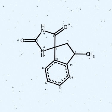 CC1CC2(NC(=O)NC2=O)c2ccccc21